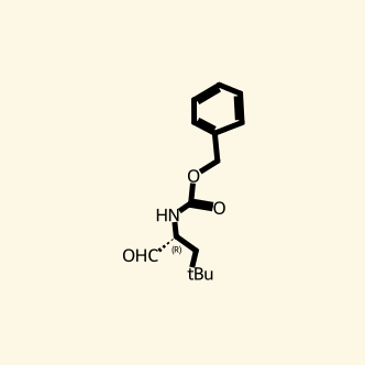 CC(C)(C)C[C@H](C=O)NC(=O)OCc1ccccc1